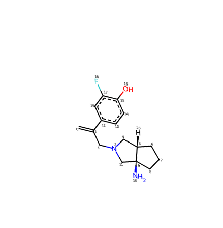 C=C(CN1C[C@@H]2CCC[C@]2(N)C1)c1ccc(O)c(F)c1